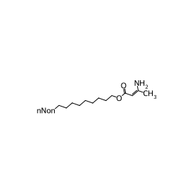 CCCCCCCCCCCCCCCCCCOC(=O)C=C(C)N